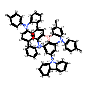 Cc1ccc(N(c2ccc(C)cc2)c2ccccc2-c2ccc3c(c2)B2c4cc(C)ccc4N(c4ccc(C)cc4)c4cc(-n5c6ccccc6c6ccccc65)cc(c42)N3c2ccccc2)cc1